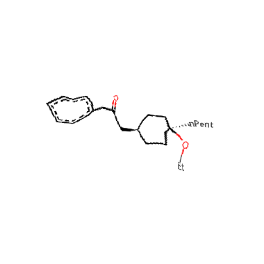 CCCCC[C@]1(OCC)CC[C@@H](CC(=O)c2ccccc2)CC1